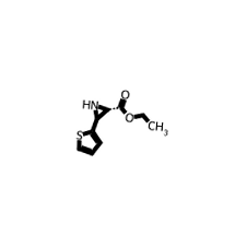 CCOC(=O)[C@H]1NC1c1cccs1